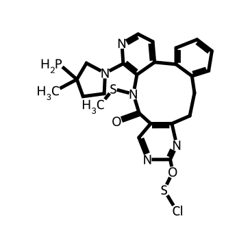 CSN1C(=O)c2cnc(OSCl)nc2CCc2ccccc2-c2ccnc(N3CCC(C)(P)C3)c21